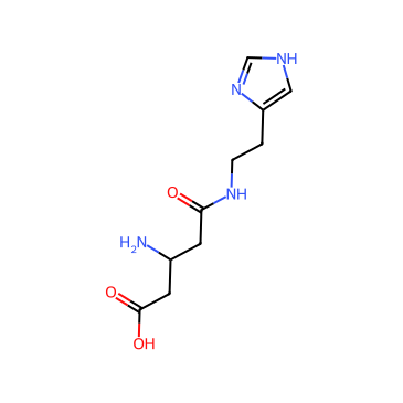 NC(CC(=O)O)CC(=O)NCCc1c[nH]cn1